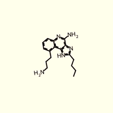 CCCCc1nc2c(N)nc3cccc(CCCN)c3c2[nH]1